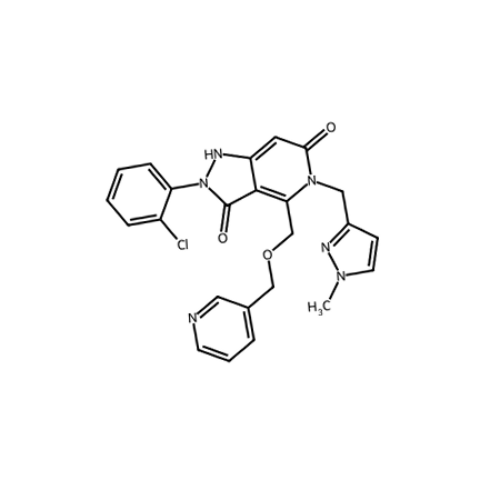 Cn1ccc(Cn2c(COCc3cccnc3)c3c(=O)n(-c4ccccc4Cl)[nH]c3cc2=O)n1